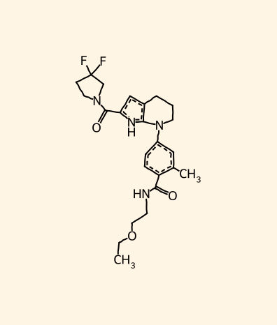 CCOCCNC(=O)c1ccc(N2CCCc3cc(C(=O)N4CCC(F)(F)C4)[nH]c32)cc1C